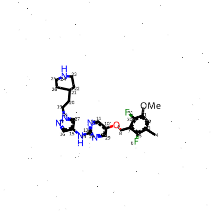 COc1cc(C)c(F)c(COc2cnc(Nc3cnn(CCC4CCNCC4)c3)nc2)c1F